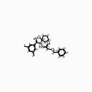 Cc1cc(C)cc(C2=NOC3(CCCC3)N2NC(=O)COCc2ccccc2)c1